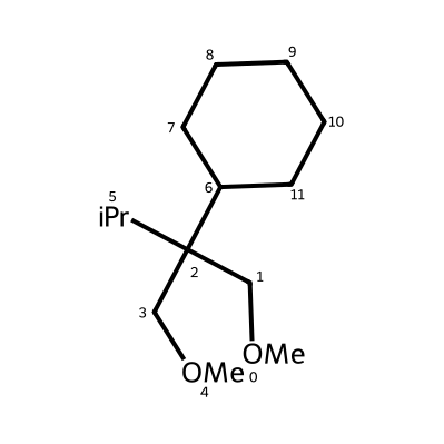 COCC(COC)(C(C)C)C1CCCCC1